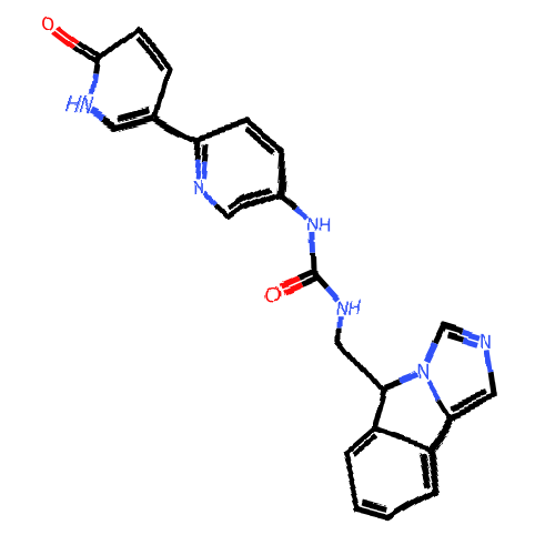 O=C(NCC1c2ccccc2-c2cncn21)Nc1ccc(-c2ccc(=O)[nH]c2)nc1